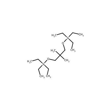 CC[Si](CC)(CC)OCC(C)(C)CO[Si](CC)(CC)CC